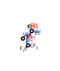 CCNc1cc(C(=O)N[C@@H](Cc2ccccc2)[C@@H](O)CNCc2cc(C(F)(F)F)cc(C(F)(F)F)c2)cc(N2CCCS2(O)O)c1